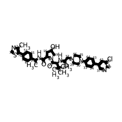 Cc1ncsc1-c1ccc(C(C)NC(=O)C2CC(O)CN2C(=O)[C@@H](NC(=O)CN2CCN(c3ccc(-c4cnnc(Cl)c4)cc3)CC2)C(C)(C)C)cc1